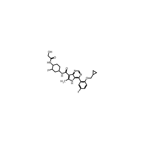 Cc1[nH]c2c(-c3cc(F)ccc3OCC3CC3)ncnc2c1C(=O)NC1CCC(NC(=O)CO)C(F)C1